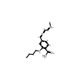 CCCCOc1cc(C=C=C/C=N\C)ccc1C(=O)O